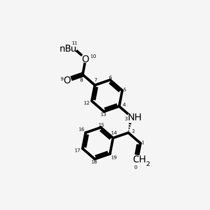 C=C[C@@H](Nc1ccc(C(=O)OCCCC)cc1)c1ccccc1